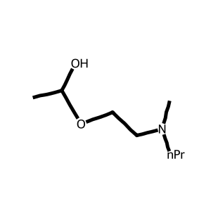 CCCN(C)CCOC(C)O